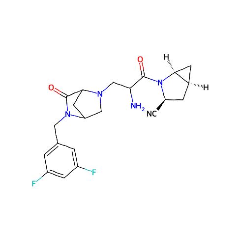 N#C[C@@H]1C[C@@H]2C[C@@H]2N1C(=O)C(N)CN1CC2CC1C(=O)N2Cc1cc(F)cc(F)c1